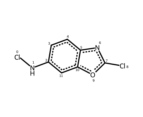 ClNc1ccc2nc(Cl)oc2c1